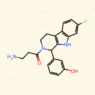 NCCC(=O)N1CCc2c([nH]c3cc(F)ccc23)C1c1cccc(O)c1